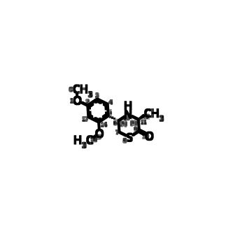 COc1ccc([C@H]2CSC(=O)[C@H](C)N2)c(OC)c1